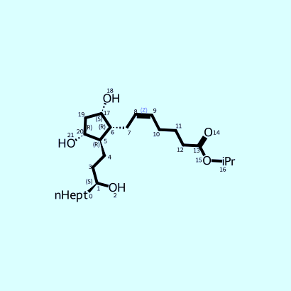 CCCCCCC[C@H](O)CC[C@@H]1[C@@H](C/C=C\CCCC(=O)OC(C)C)[C@@H](O)C[C@H]1O